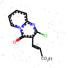 CCOC(=O)/C=C/c1c(Cl)nc2ccccn2c1=O